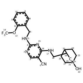 N#Cc1cnc(NCc2ccccc2OC(F)(F)F)nc1NCC1C[N+]2(O)CCC1CC2